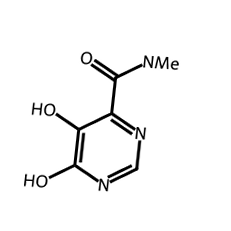 CNC(=O)c1ncnc(O)c1O